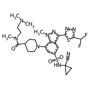 CN(C)CCN(C)C(=O)C1CCN(c2cc(S(=O)(=O)NC3(C#N)CC3)cc3c(-c4nnc(C(F)F)s4)nn(C)c23)CC1